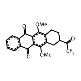 COc1c2c(c(OC)c3c1C(=O)c1ccccc1C3=O)CC(C(=O)C(F)(F)F)CC2